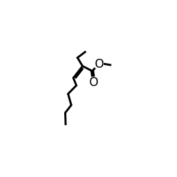 CCCCCC=C(CC)C(=O)OC